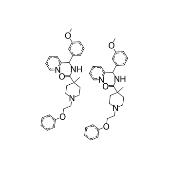 COc1cccc(C(NC(=O)C2(C)CCN(CCOc3ccccc3)CC2)c2ccccn2)c1.COc1cccc(C(NC(=O)C2(C)CCN(CCOc3ccccc3)CC2)c2ccccn2)c1